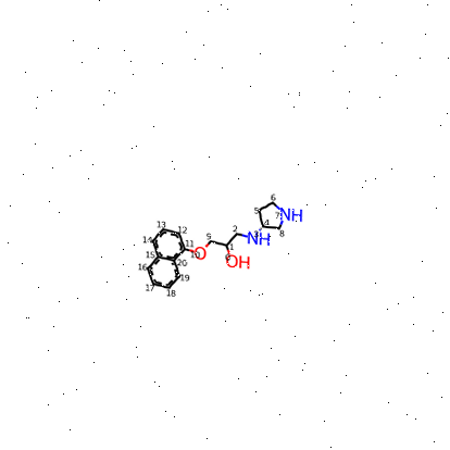 OC(CN[C@@H]1CCNC1)COc1cccc2ccccc12